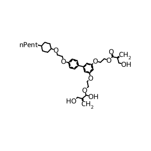 C=C(CO)C(=O)OCCOc1cc(OCCOC(O)C(=C)CO)cc(-c2ccc(OCCOC3CCC(CCCCC)CC3)cc2)c1